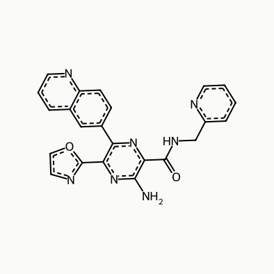 Nc1nc(-c2ncco2)c(-c2ccc3ncccc3c2)nc1C(=O)NCc1ccccn1